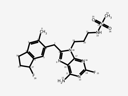 Cc1cc2c(cc1Cc1nc3c(N)nc(F)nc3n1CCCNS(C)(=O)=O)C(F)CC2